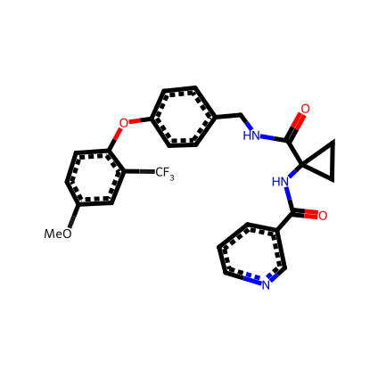 COc1ccc(Oc2ccc(CNC(=O)C3(NC(=O)c4cccnc4)CC3)cc2)c(C(F)(F)F)c1